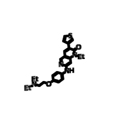 CCN(CC)CCOc1ccc(Nc2cc3c(cn2)cc(-c2ccsc2)c(=O)n3CC)cc1